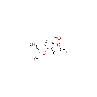 CCC[C@@H](C)Oc1ccc(C=O)c(OC)c1C